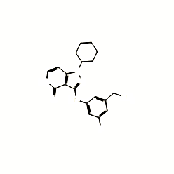 NCc1cc(F)cc(Nc2nn(C3CCCCC3)c3cc[nH]c(=O)c23)c1